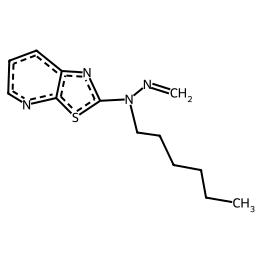 C=NN(CCCCCC)c1nc2cccnc2s1